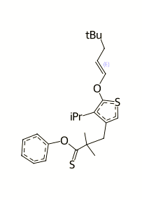 CC(C)c1c(CC(C)(C)C(=S)Oc2ccccc2)csc1O/C=C/CC(C)(C)C